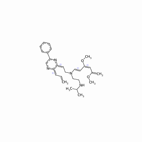 C=C/C=c1/ncc(-c2ccccc2)n/c1=C/CN(/C=C/C(=C\C(=C)OC)OC)CCNC(C)C